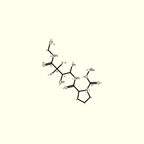 CC(C)C(NC(=O)C1CCCN1C(=O)OC(C)(C)C)C(O)C(F)(F)C(=O)NCC(F)(F)F